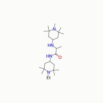 CCN1C(C)(C)CC(NC(=O)C(C)NC2CC(C)(C)N(C)C(C)(C)C2)CC1(C)C